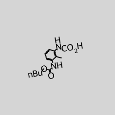 CCCCOC(=O)Nc1cccc(NC(=O)O)c1C